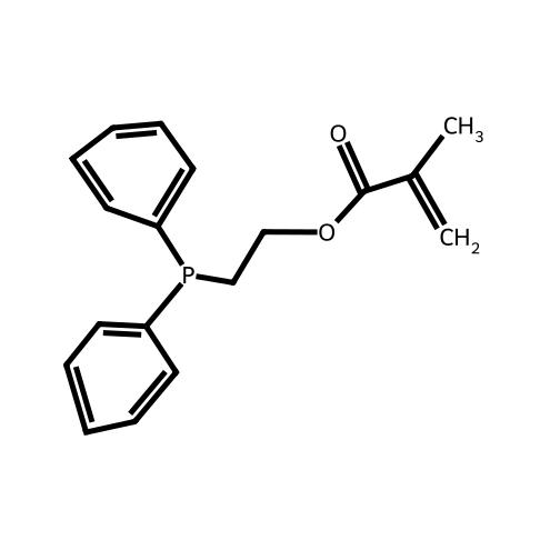 C=C(C)C(=O)OCCP(c1ccccc1)c1ccccc1